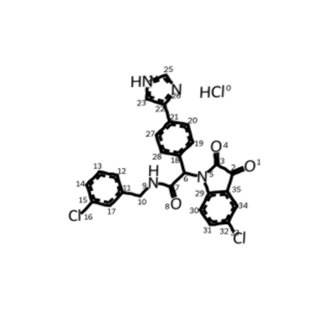 Cl.O=C1C(=O)N(C(C(=O)NCc2cccc(Cl)c2)c2ccc(-c3c[nH]cn3)cc2)c2ccc(Cl)cc21